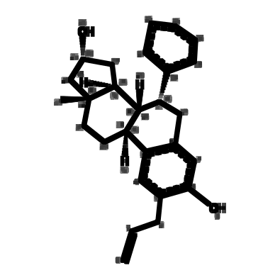 C=CCc1cc2c(cc1O)C[C@@H](c1ccccc1)[C@@H]1[C@@H]2CC[C@]2(C)C[C@H](O)C[C@@H]12